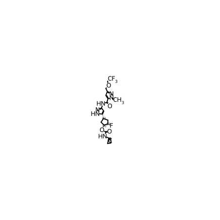 Cn1nc(COCC(F)(F)F)cc1C(=O)Nc1cc([C@@H]2C[C@H](F)[C@H](OC(=O)NC34CC(C3)C4)C2)[nH]n1